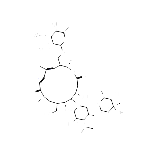 CC[C@H]1OC(=O)C[C@@H](O)C(C)[C@@H](O[C@@H]2O[C@H](C)[C@@H](O[C@H]3C[C@@](C)(O)[C@@H](O)[C@H](C)O3)[C@H](N(C)C)[C@H]2O)[C@@H](CC=O)C[C@@H](C)C(=O)/C=C/C(C)=C/C1COC1O[C@H](C)[C@@H](O)[C@@H](OC)[C@H]1OC